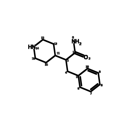 NC(=O)C(Cc1ccccc1)C1CCNCC1